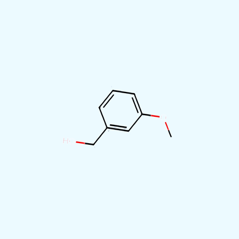 COc1[c]c(CO)ccc1